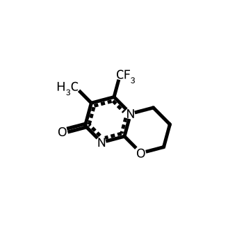 Cc1c(C(F)(F)F)n2c(nc1=O)OCCC2